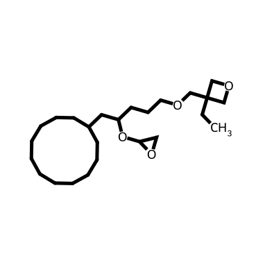 CCC1(COCCCC(CC2CCCCCCCCCCC2)OC2CO2)COC1